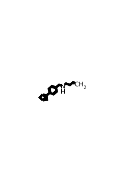 C=CCCNCc1ccc(C2CC3CC2C3)cc1